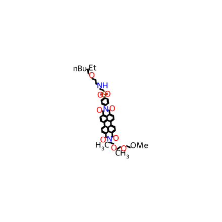 CCCCC(CC)COCCCNCCS(=O)(=O)c1ccc(N2C(=O)c3ccc4c5ccc6c7c(ccc(c8ccc(c3c48)C2=O)c75)C(=O)N(C(C)COC(C)COCCOC)C6=O)cc1